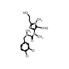 CN(Cc1ccc(Cl)c(Cl)c1)C(=O)N(C)c1nc(CCO)n(C)c1C=O